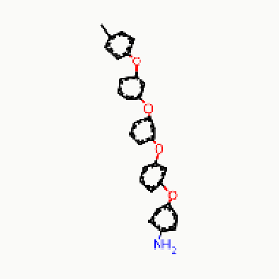 Cc1ccc(Oc2cccc(Oc3cccc(Oc4cccc(Oc5ccc(N)cc5)c4)c3)c2)cc1